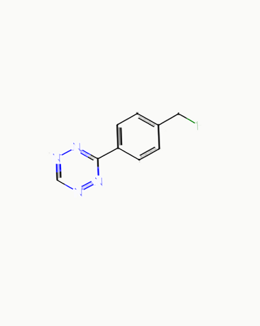 FCc1ccc(-c2nncnn2)cc1